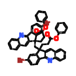 O=C(CCC1(CC2(CCC(=O)Oc3ccccc3)c3cc(Br)ccc3-c3nc4ccccc4cc32)c2cc(Br)ccc2-c2nc3ccccc3cc21)Oc1ccccc1